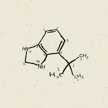 CC(C)(C)c1cccc2c1NCN2